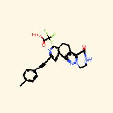 Cc1ccc(C#Cc2cc3c(cn2)CCc2c-3nn3c2C(=O)NCC3)cc1.O=C(O)C(F)(F)F